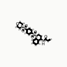 C=CC(=O)NC1CCN(S(=O)(=O)c2ccc(S(=O)(=O)N3CCOCC3)cc2)c2ccccc21